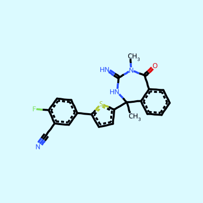 CN1C(=N)NC(C)(c2ccc(-c3ccc(F)c(C#N)c3)s2)c2ccccc2C1=O